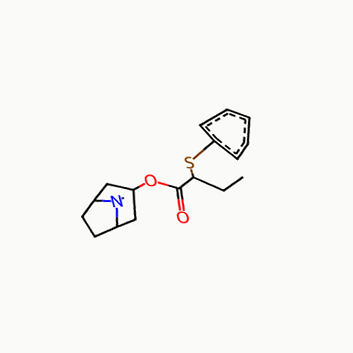 CCC(Sc1ccccc1)C(=O)OC1CC2CCC(C1)N2C